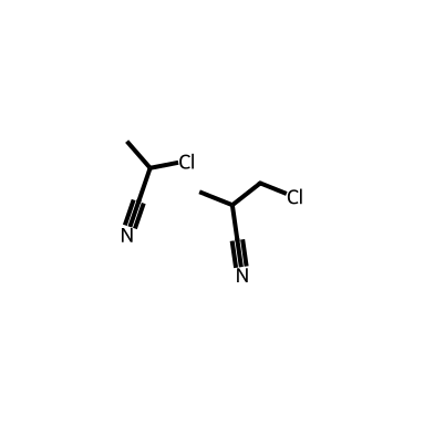 CC(C#N)CCl.CC(Cl)C#N